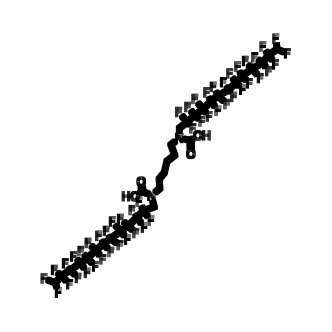 O=C(O)N(CCCCCCN(CC(F)(F)C(F)(F)C(F)(F)C(F)(F)C(F)(F)C(F)(F)C(F)(F)C(F)(F)C(F)(F)C(F)(F)C(F)(F)C(F)F)C(=O)O)CC(F)(F)C(F)(F)C(F)(F)C(F)(F)C(F)(F)C(F)(F)C(F)(F)C(F)(F)C(F)(F)C(F)(F)C(F)(F)C(F)F